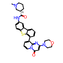 CN1CCC[C@H](C(=O)Nc2ccc3sc4c(-c5cccn6c(=O)cc(N7CCOCC7)nc56)cccc4c3c2)C1